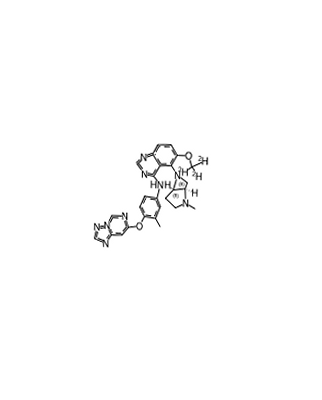 [2H]C([2H])([2H])Oc1ccc2ncnc(Nc3ccc(Oc4cc5ncnn5cn4)c(C)c3)c2c1N1C[C@@H]2[C@H]1CCN2C